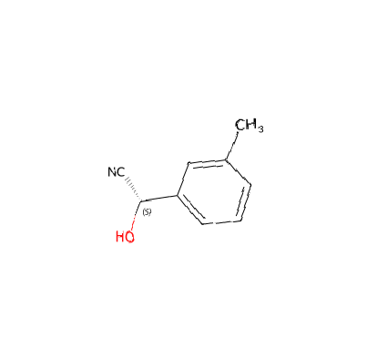 Cc1cccc([C@H](O)C#N)c1